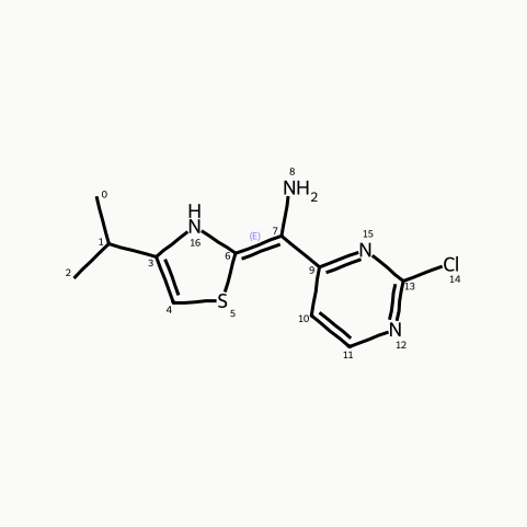 CC(C)C1=CS/C(=C(/N)c2ccnc(Cl)n2)N1